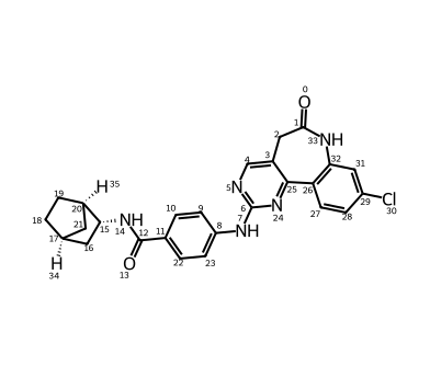 O=C1Cc2cnc(Nc3ccc(C(=O)N[C@@H]4C[C@H]5CC[C@@H]4C5)cc3)nc2-c2ccc(Cl)cc2N1